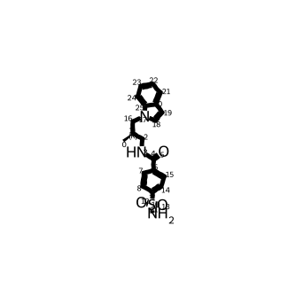 C[C@H](CNC(=O)c1ccc(S(N)(=O)=O)cc1)Cn1ccc2ccccc21